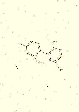 COc1ccc(C(C)C)cc1-c1ccc(C(F)(F)F)cc1C(=O)O